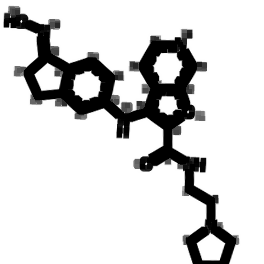 O=C(NCCN1CCCC1)c1oc2cnccc2c1Nc1ccc2c(c1)CCC2=NO